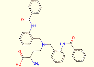 NC(CCN(Cc1ccccc1NC(=O)c1ccccc1)Cc1ccccc1NC(=O)c1ccccc1)C(=O)O